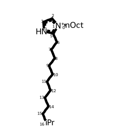 CCCCCCCC[n+]1cc[nH]c1CCCCCCCCCCC(C)C